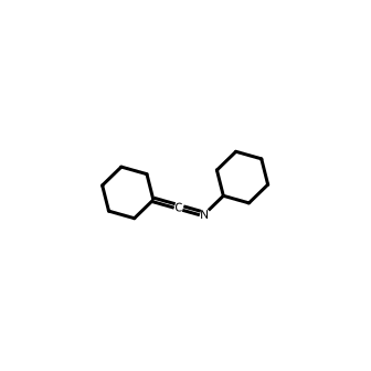 C(=NC1CCCCC1)=C1CCCCC1